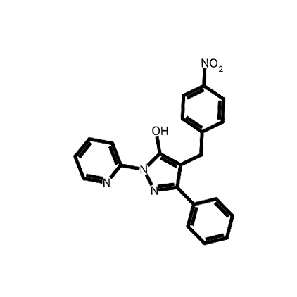 O=[N+]([O-])c1ccc(Cc2c(-c3ccccc3)nn(-c3ccccn3)c2O)cc1